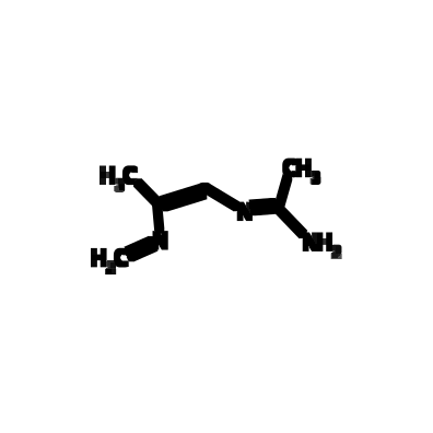 C=N/C(C)=C\N=C(/C)N